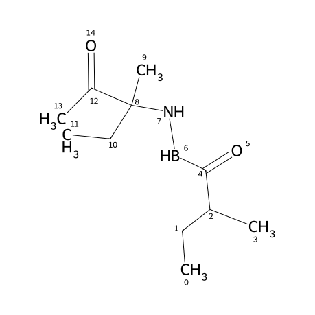 CCC(C)C(=O)BNC(C)(CC)C(C)=O